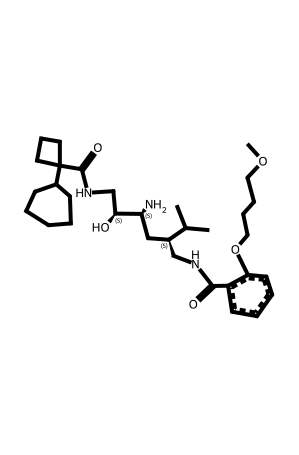 COCCCCOc1ccccc1C(=O)NC[C@@H](C[C@H](N)[C@@H](O)CNC(=O)C1(C2CCCCC2)CCC1)C(C)C